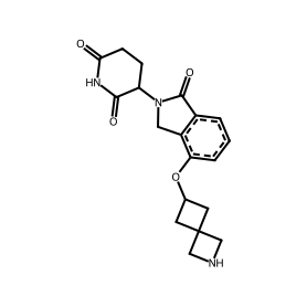 O=C1CCC(N2Cc3c(OC4CC5(CNC5)C4)cccc3C2=O)C(=O)N1